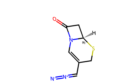 [N-]=[N+]=CC1=CN2C(=O)C[C@H]2SC1